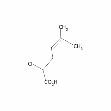 CC(C)=CCC(Cl)C(=O)O